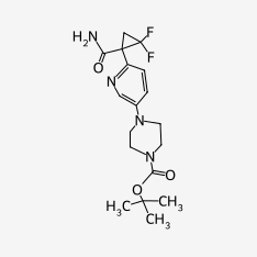 CC(C)(C)OC(=O)N1CCN(c2ccc(C3(C(N)=O)CC3(F)F)nc2)CC1